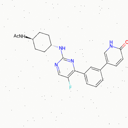 CC(=O)N[C@H]1CC[C@H](Nc2ncc(F)c(-c3cccc(-c4ccc(=O)[nH]c4)c3)n2)CC1